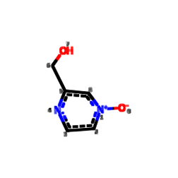 [O-][n+]1ccnc(CO)c1